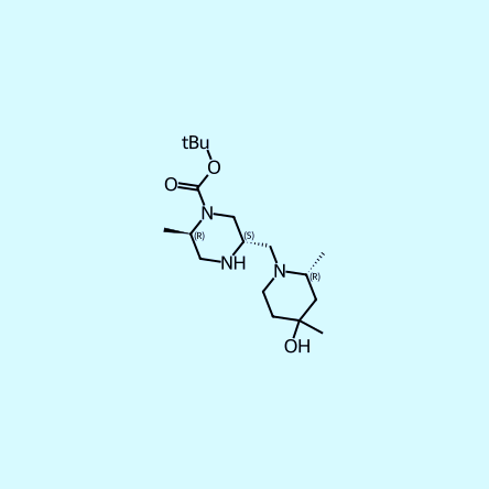 C[C@@H]1CC(C)(O)CCN1C[C@H]1CN(C(=O)OC(C)(C)C)[C@H](C)CN1